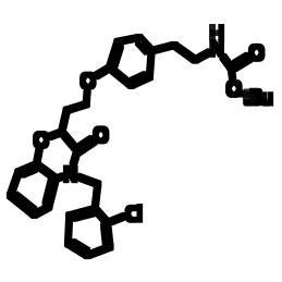 CC(C)(C)OC(=O)NCCc1ccc(OCCC2Oc3ccccc3N(Cc3ccccc3Cl)C2=O)cc1